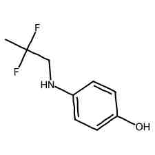 CC(F)(F)CNc1ccc(O)cc1